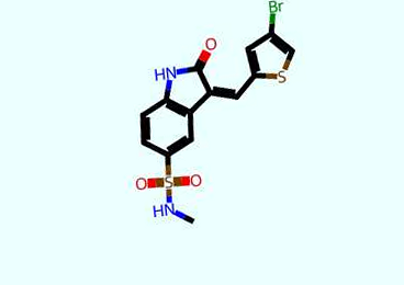 CNS(=O)(=O)c1ccc2c(c1)C(=Cc1cc(Br)cs1)C(=O)N2